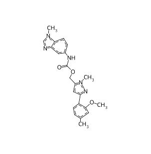 COc1cc(C)ccc1-c1cc(COC(=O)Nc2ccc3c(c2)ncn3C)n(C)n1